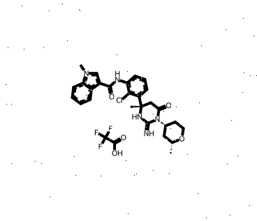 C[C@@H]1C[C@H](N2C(=N)N[C@](C)(c3cccc(NC(=O)c4cn(C)c5ccccc45)c3Cl)CC2=O)CCO1.O=C(O)C(F)(F)F